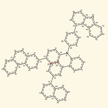 c1cc(-c2ccccc2N(c2ccc(-c3ccc4c(ccc5ccccc54)c3)cc2)c2ccc(-c3cccc4oc5ccccc5c34)cc2)cc(-c2cccc3ccccc23)c1